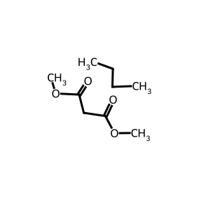 CCCC.COC(=O)CC(=O)OC